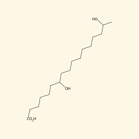 CC(O)CCCCCCCCC(O)CCCCCC(=O)O